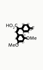 COc1cc(C=C(C(=O)O)c2ccc(F)cc2)cc(OC)c1